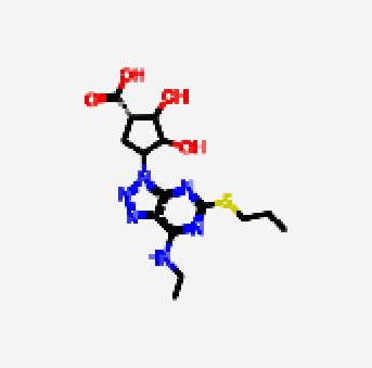 CCCSc1nc(NCC)c2nnn(C3C[C@H](C(=O)O)C(O)C3O)c2n1